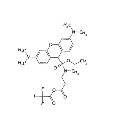 CCOP(=O)(C1c2ccc(N(C)C)cc2Oc2cc(N(C)C)ccc21)N(C)CCC(=O)OC(=O)C(F)(F)F